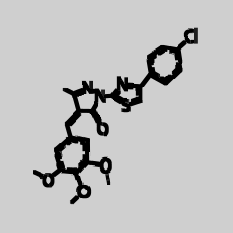 COc1cc(/C=C2\C(=O)N(c3nc(-c4ccc(Cl)cc4)cs3)N=C2C)cc(OC)c1OC